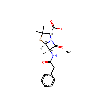 CC1(C)S[C@H]2N(C(=O)[C@@]2(C)NC(=O)Cc2ccccc2)[C@H]1C(=O)[O-].[Na+]